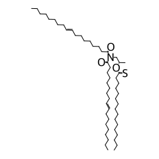 CCCCCCCCC=CCCCCCCCC(=O)N(CC(C)OC(=S)CCCCCCCCCCCCCCC)C(=O)CCCCCCCC=CCCCCCCCC